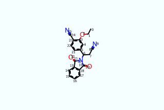 CCOc1cc(C(CC#N)N2C(=O)c3ccccc3C2=O)ccc1C#N